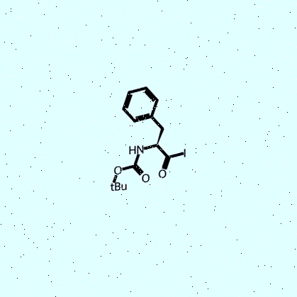 CC(C)(C)OC(=O)N[C@@H](Cc1ccccc1)C(=O)I